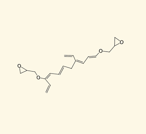 C=C/C(=C\C=C\OCC1CO1)C/C=C/C=C(\C=C)OCC1CO1